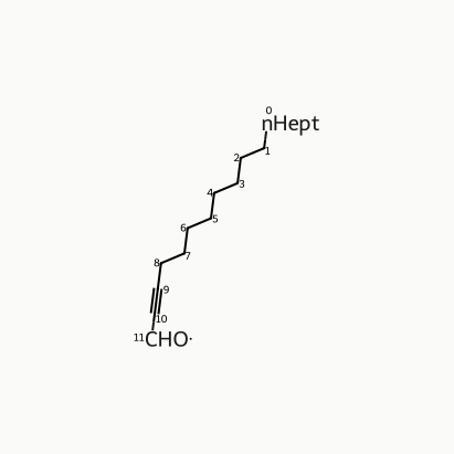 CCCCCCCCCCCCCCCC#C[C]=O